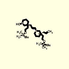 C=CC[C@]1(CCO[Si](C)(C)C(C)(C)C)CCCN(/C=C/C[C@]2(CCO[Si](C)(C)C(C)(C)C)CCCN(O)C2)C1